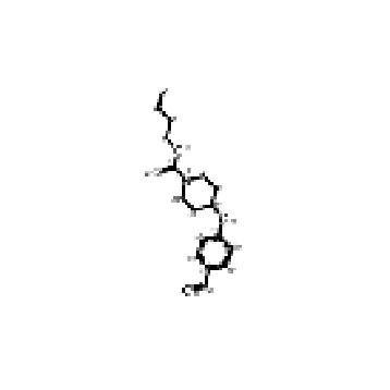 CCCCOC(=O)N1CCC(Oc2ccc(C=O)cc2)CC1